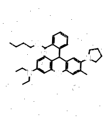 CCCCOC(=O)c1ccccc1C1c2ccc(N(CC)CC)cc2Oc2cc(C)c(N3CCCC3)cc21